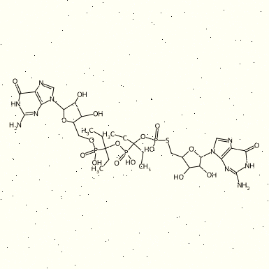 CCC(CC)(OP(=O)(O)C(CC)(CC)OP(=O)(O)SCC1OC(n2cnc3c(=O)[nH]c(N)nc32)C(O)C1O)P(=O)(O)OCC1OC(n2cnc3c(=O)[nH]c(N)nc32)C(O)C1O